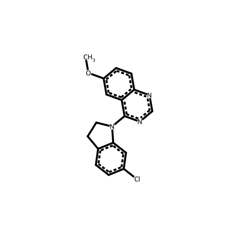 COc1ccc2ncnc(N3CCc4ccc(Cl)cc43)c2c1